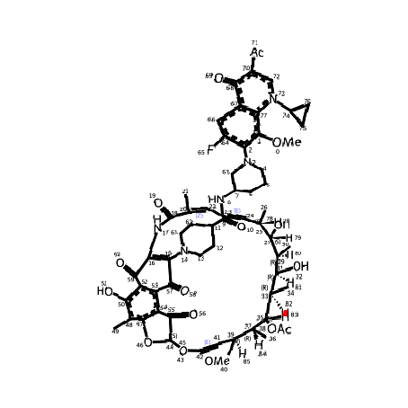 COc1c(N2CCCC(NC(=O)C3CCN(C4=C5NC(=O)/C(C)=C\C=C\[C@H](C)[C@H](O)[C@@H](C)[C@@H](O)[C@@H](C)[C@H](OC(C)=O)[C@H](C)[C@@H](OC)/C=C/O[C@@]6(C)Oc7c(C)c(O)c(c(c7C6=O)C4=O)C5=O)CC3)C2)c(F)cc2c(=O)c(C(C)=O)cn(C3CC3)c12